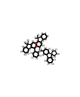 CC1(C)c2ccccc2-c2cc(N(c3ccc4c(c3)-c3ccccc3C43CCCC3)c3ccccc3-c3cccc4c3-c3ccccc3C4(C)C)ccc21